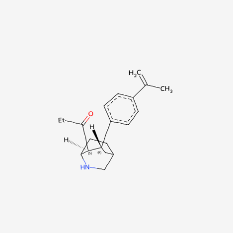 C=C(C)c1ccc([C@@H]2CC3CCC(NC3)[C@H]2C(=O)CC)cc1